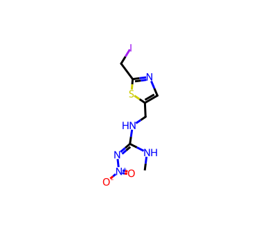 CN/C(=N\[N+](=O)[O-])NCc1cnc(CI)s1